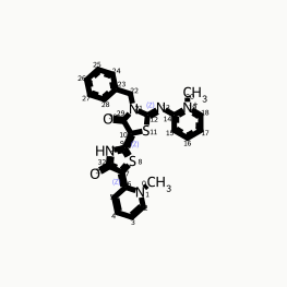 CN1C=CC=C/C1=c1/s/c(=C2\S/C(=N\c3cccc[n+]3C)N(Cc3ccccc3)C2=O)[nH]c1=O